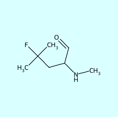 CNC(C=O)CC(C)(C)F